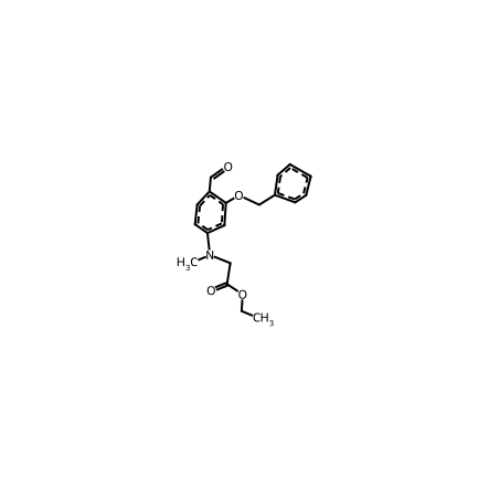 CCOC(=O)CN(C)c1ccc(C=O)c(OCc2ccccc2)c1